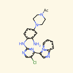 CC(=O)N1CCN(c2ccc(Nc3ncc(Cl)c(-c4cnc5ccccn45)n3)c(N)c2)CC1